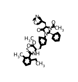 CCc1cccc(C)c1C(=S)N[C@@H](Cc1ccc(N2C(=O)[C@@H](Cc3cccnc3)N(C(C)=O)[C@H]2c2ccccc2)cc1)C(=O)OC